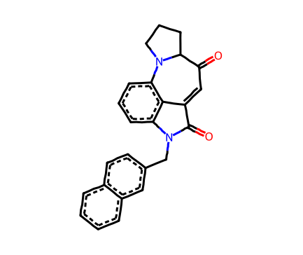 O=C1C=C2C(=O)N(Cc3ccc4ccccc4c3)c3cccc(c32)N2CCCC12